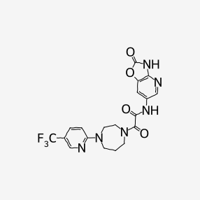 O=C(Nc1cnc2[nH]c(=O)oc2c1)C(=O)N1CCCN(c2ccc(C(F)(F)F)cn2)CC1